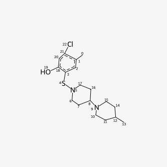 Cc1cc(SN2CCC(N3CCC(C)CC3)CC2)c(O)cc1Cl